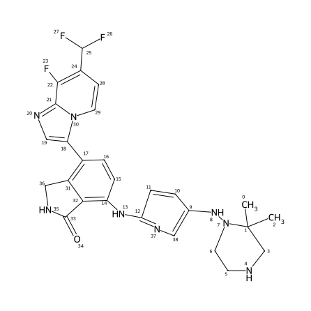 CC1(C)CNCCN1Nc1ccc(Nc2ccc(-c3cnc4c(F)c(C(F)F)ccn34)c3c2C(=O)NC3)nc1